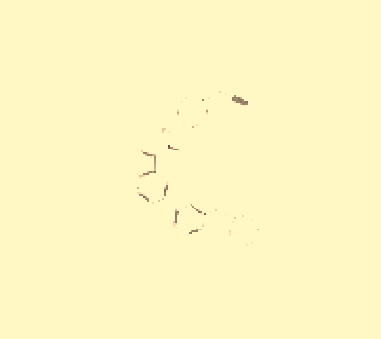 C#CCN1CCC(NC(=O)c2n[nH]c3ccc(-c4cncc(CN5CCOCC5)c4)cc23)CC1